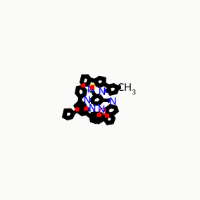 Cc1ccc2c(c1)c1ccc3c4ccccc4sc3c1n2-c1c(C#N)c(-n2c3ccccc3c3ccccc32)c(-n2c3ccc(-c4ccccc4)cc3c3ccc4c5ccccc5oc4c32)c(-n2c3ccccc3c3ccccc32)c1C#N